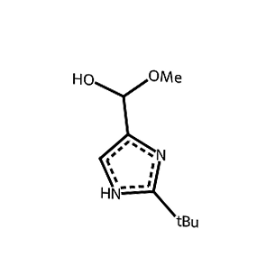 COC(O)c1c[nH]c(C(C)(C)C)n1